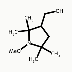 CON1C(C)(C)CC(CO)C1(C)C